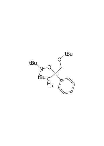 CC(C)(C)OCC(C)(ON(C(C)(C)C)C(C)(C)C)c1ccccc1